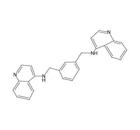 c1cc(CNc2ccnc3ccccc23)cc(CNc2ccnc3ccccc23)c1